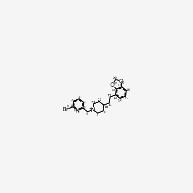 Brc1cccc(CN2CCC(CCc3cccc4c3OCO4)CC2)n1